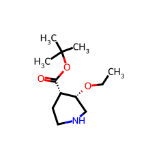 CCO[C@@H]1CNCC[C@@H]1C(=O)OC(C)(C)C